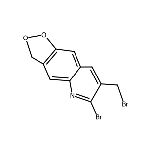 BrCc1cc2cc3c(cc2nc1Br)COO3